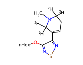 [2H]C1([2H])CC=C(c2nsnc2OCCCCCC)C([2H])([2H])N1C